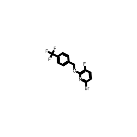 Fc1ccc(Br)nc1OCc1ccc(C(F)(F)F)cc1